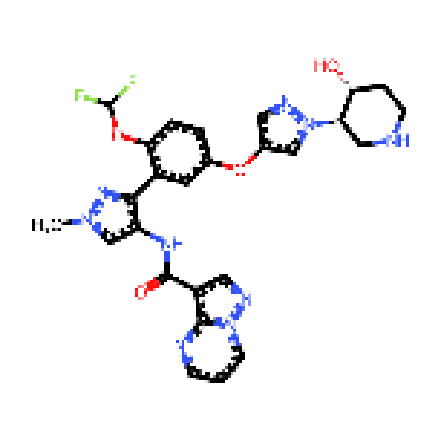 Cn1cc(NC(=O)c2cnn3cccnc23)c(-c2cc(Oc3cnn([C@@H]4CNCC[C@H]4O)c3)ccc2OC(F)F)n1